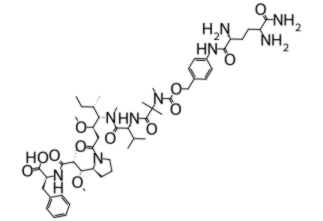 CC[C@H](C)[C@@H]([C@@H](CC(=O)N1CCC[C@H]1[C@H](OC)[C@@H](C)C(=O)N[C@@H](Cc1ccccc1)C(=O)O)OC)N(C)C(=O)[C@@H](NC(=O)C(C)(C)N(C)C(=O)OCc1ccc(NC(=O)[C@@H](N)CCC(N)C(N)=O)cc1)C(C)C